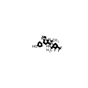 Cc1nc(N[C@H](C)c2cccc(C(F)F)c2F)c2cc([C@H]3CC[C@@H](O)CC3)c3nncn3c2n1